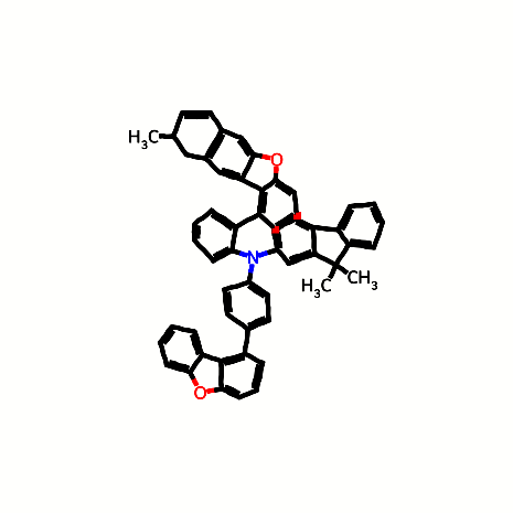 CC1C=Cc2cc3oc4cccc(-c5ccccc5N(c5ccc(-c6cccc7oc8ccccc8c67)cc5)c5ccc6c(c5)C(C)(C)c5ccccc5-6)c4c3cc2C1